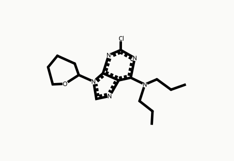 CCCN(CCC)c1nc(Cl)nc2c1ncn2C1CCCCO1